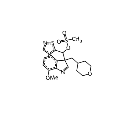 COc1cccc2c1N=CC2(CC1CCOCC1)C(OS(C)(=O)=O)c1ncns1